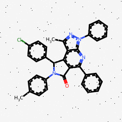 Cc1ccc(N2C(=O)c3c(-c4ccccc4)nc4c(c(C)nn4-c4ccccc4)c3C2c2ccc(Cl)cc2)cc1